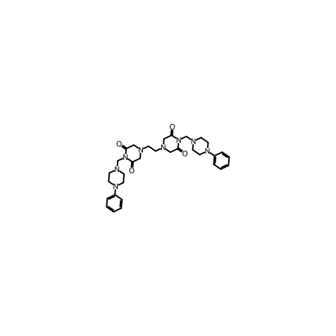 O=C1CN(CCN2CC(=O)N(CN3CCN(c4ccccc4)CC3)C(=O)C2)CC(=O)N1CN1CCN(c2ccccc2)CC1